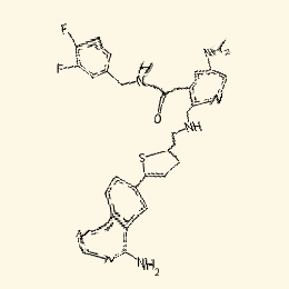 Nc1cnc(NCC2CC=C(c3ccc4ncnc(N)c4c3)S2)c(C(=O)NCc2ccc(F)c(F)c2)c1